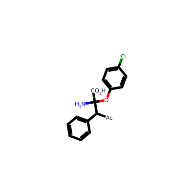 CC(=O)C(c1ccccc1)C(N)(Oc1ccc(Cl)cc1)C(=O)O